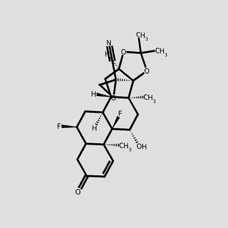 CC1(C)O[C@@H]2C[C@H]3[C@@H]4C[C@H](F)C5CC(=O)C=C[C@]5(C)[C@@]4(F)[C@@H](O)C[C@]3(C)[C@]2(C2(C#N)CO2)O1